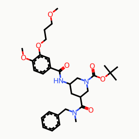 COCCCOc1cc(C(=O)NC2CC(C(=O)N(C)Cc3ccccc3)CN(C(=O)OC(C)(C)C)C2)ccc1OC